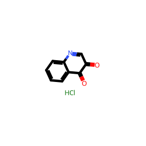 Cl.O=C1C=Nc2ccccc2C1=O